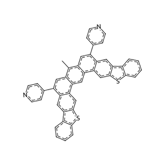 Cc1c2cc(-c3ccncc3)c3cc4c(cc3c2cc2c1cc(-c1ccncc1)c1cc3c(cc12)sc1ccccc13)sc1ccccc14